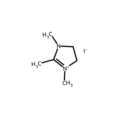 CC1=[N+](C)CCN1C.[I-]